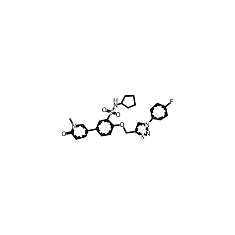 Cn1cc(-c2ccc(OCc3cn(-c4ccc(F)cc4)nn3)c(S(=O)(=O)NC3CCCC3)c2)ccc1=O